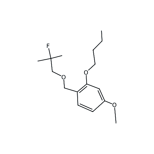 CCCCOc1cc(OC)ccc1COCC(C)(C)F